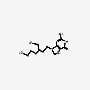 Nc1nc2c(c(=O)[nH]1)NCN2CCC(CO)CCCO